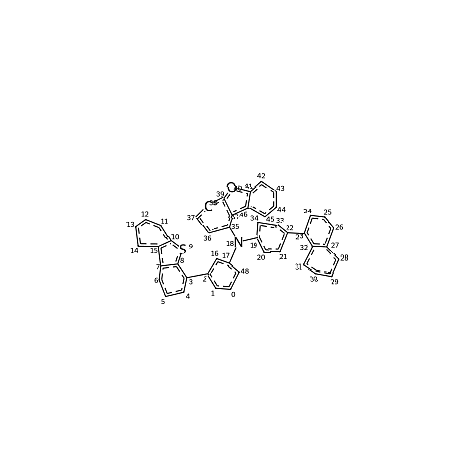 c1cc(-c2cccc3c2sc2ccccc23)cc(N(c2ccc(-c3cccc4ccccc34)cc2)c2cccc3oc4ccccc4c23)c1